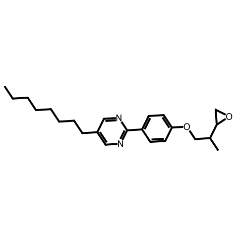 CCCCCCCCc1cnc(-c2ccc(OCC(C)C3CO3)cc2)nc1